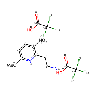 COc1ccc([N+](=O)[O-])c(CCN)n1.O=C(O)C(F)(F)F.O=C(O)C(F)(F)F